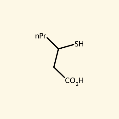 CCCC(S)CC(=O)O